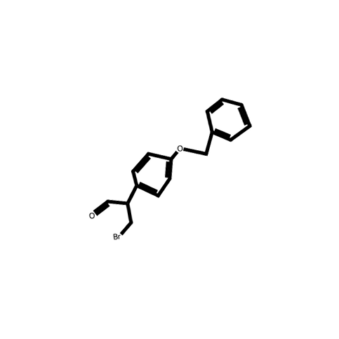 O=CC(CBr)c1ccc(OCc2ccccc2)cc1